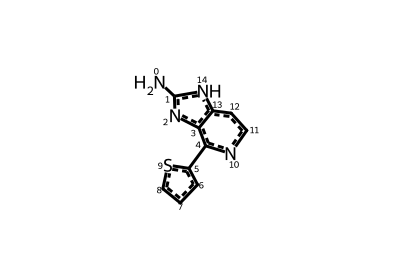 Nc1nc2c(-c3cccs3)nccc2[nH]1